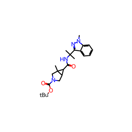 Cn1nc(C(C)(C)NC(=O)C2C3CN(C(=O)OC(C)(C)C)CC32C)c2ccccc21